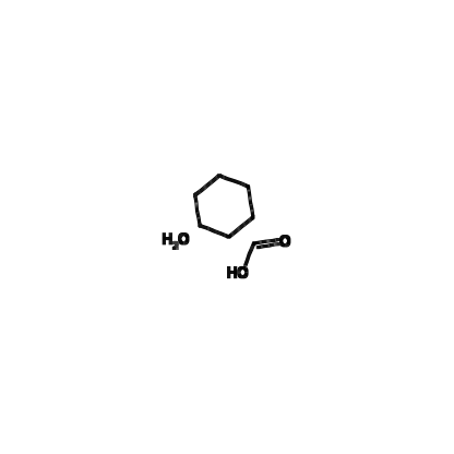 C1CCCCC1.O.O=CO